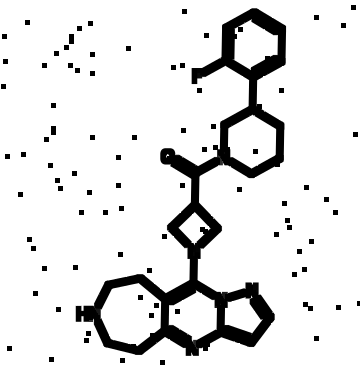 O=C(C1CN(c2c3c(nc4ccnn24)CCNCC3)C1)N1CCCC(c2ccccc2F)C1